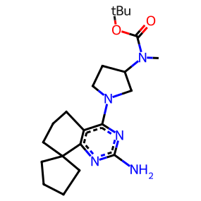 CN(C(=O)OC(C)(C)C)C1CCN(c2nc(N)nc3c2CCCC32CCCC2)C1